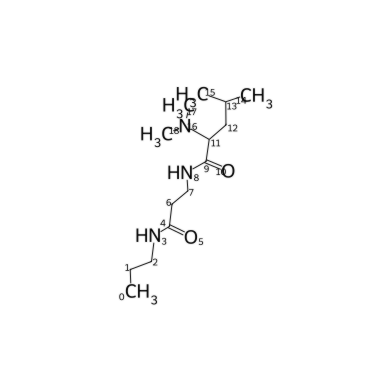 CCCNC(=O)CCNC(=O)C(CC(C)C)N(C)C